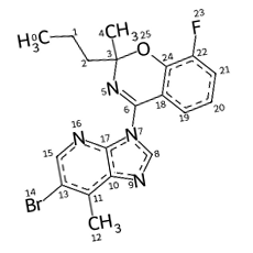 CCCC1(C)N=C(n2cnc3c(C)c(Br)cnc32)c2cccc(F)c2O1